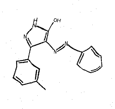 Cc1cccc(-c2n[nH]c(O)c2N=Nc2ccccc2)c1